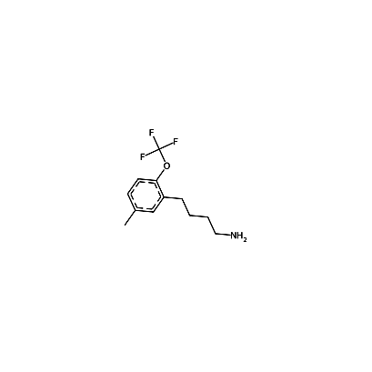 Cc1ccc(OC(F)(F)F)c(CCCCN)c1